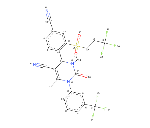 CC1=C(C#N)C(c2ccc(C#N)cc2S(=O)(=O)CCC(F)(F)F)N(C)C(=O)N1c1cccc(C(F)(F)F)c1